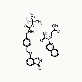 CC(C)(C)OC(=O)NCc1ccc(COc2cccc3c2C=NC3=O)cc1.NC(=O)C(CCC(=O)O)c1ccc2ccccc2n1